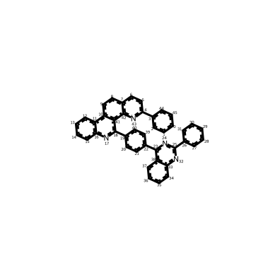 c1ccc(-c2ccc3ccc4c5ccccc5nc(-c5ccc(-c6nc(-c7ccccc7)nc7ccccc67)cc5)c4c3n2)cc1